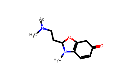 CC(=O)N(C)CCC1OC2=C(C=CC(=O)C2)N1C